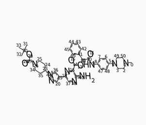 CN1CCN(c2ccc(NC(=O)[C@H](OC(=O)c3nc(-c4cnn(C5CCN(C(=O)OC(C)(C)C)CC5)c4)cnc3N)c3ccccc3)cc2)CC1